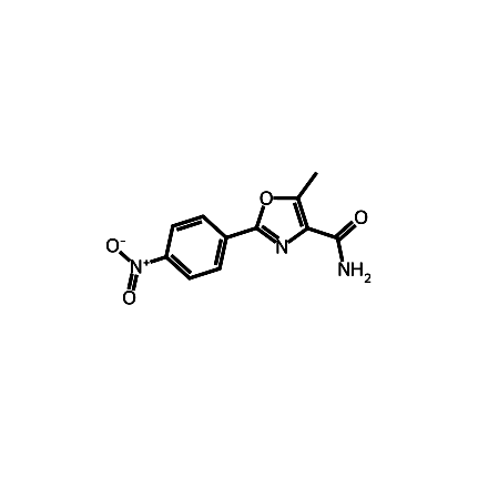 Cc1oc(-c2ccc([N+](=O)[O-])cc2)nc1C(N)=O